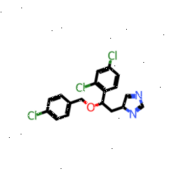 Clc1ccc(COC(CC2C=NC=N2)c2ccc(Cl)cc2Cl)cc1